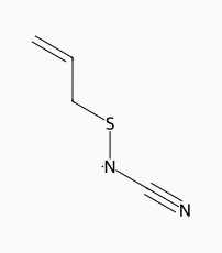 C=CCS[N]C#N